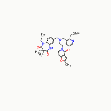 COCc1ncccc1CN(CCn1ccc2oc(C)cc2c1=O)Cc1ccc2c(c1)NC(=O)C(C)(C)C(=O)N2CC1CC1